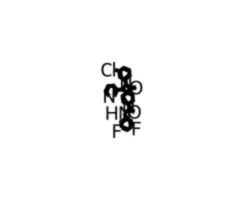 O=C(Nc1cc(F)cc(F)c1)N1CCC2(CC1)C(=O)N(c1cccc(Cl)c1)C2c1cccnc1